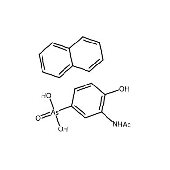 CC(=O)Nc1cc([As](=O)(O)O)ccc1O.c1ccc2ccccc2c1